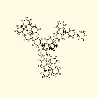 c1ccc(-c2ccc(-n3c4ccccc4c4cc(-c5ccc(N(c6ccc(-c7ccc8c(c7)C7(c9ccccc9-c9ccccc97)c7ccccc7-8)cc6)c6ccc(-c7ccc8c(c7)C7(c9ccccc9-c9ccccc97)c7ccccc7-8)cc6)c6nsnc56)ccc43)cc2)cc1